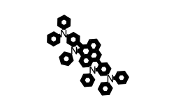 c1ccc(N(c2ccccc2)c2ccc3c(c2)N(c2ccccc2)c2ccc4c5c2c-3cc2cccc(c25)c2c3ccc(N(c5ccccc5)c5ccccc5)cc3n(-c3ccccc3)c42)cc1